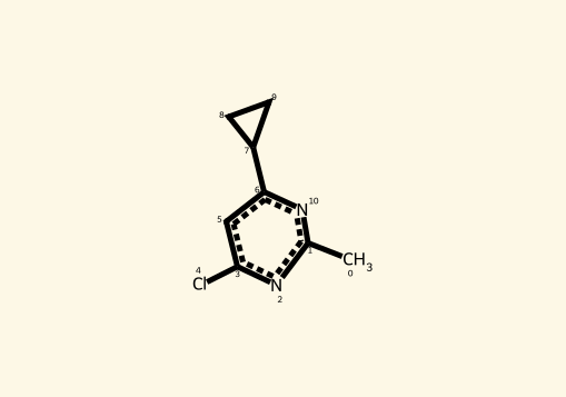 Cc1nc(Cl)cc(C2CC2)n1